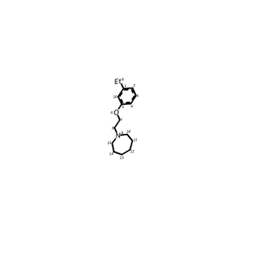 CCc1cccc(OCCN2CCCCCC2)c1